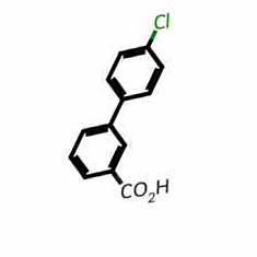 O=C(O)c1cccc(-c2ccc(Cl)cc2)c1